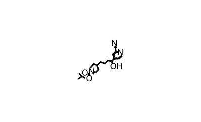 CC(C)(C)OC(=O)N1CCC(CCCC(O)c2ccnc(C#N)c2)CC1